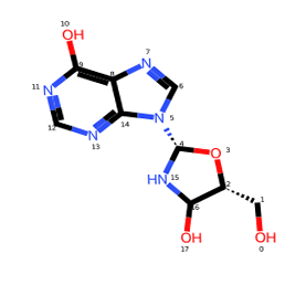 OC[C@H]1O[C@@H](n2cnc3c(O)ncnc32)NC1O